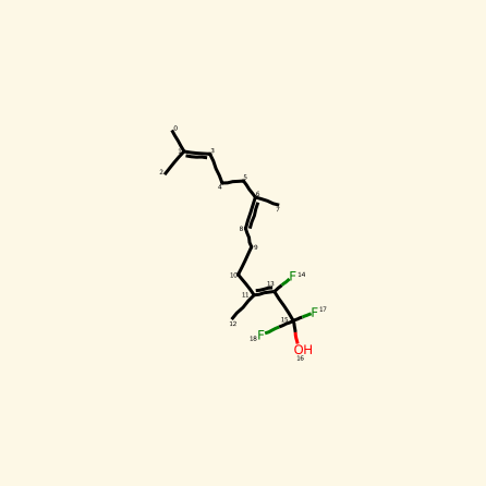 CC(C)=CCCC(C)=CCCC(C)=C(F)C(O)(F)F